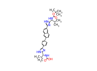 CC(C)[C@H](NC(=O)O)c1nc(-c2ccc(-c3ccc4cc(-c5c[nH]c([C@@H](NC(=O)OC(C)(C)C)C(C)C)n5)ccc4c3)cc2)c[nH]1